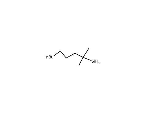 CCCCCCCC(C)(C)[SiH3]